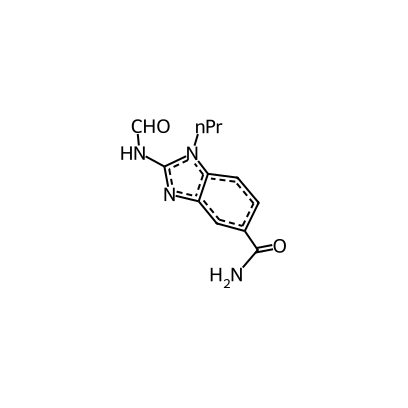 CCCn1c(NC=O)nc2cc(C(N)=O)ccc21